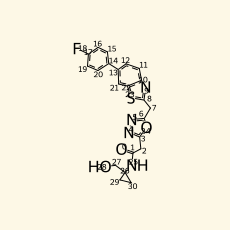 O=C(Cc1nnc(Cc2nc3ccc(-c4ccc(F)cc4)cc3s2)o1)NC1(CO)CC1